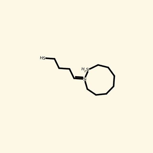 SCCCC=[Si]1CCCCCCC[SiH2]1